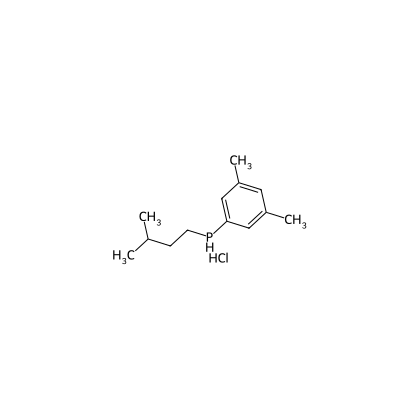 Cc1cc(C)cc(PCCC(C)C)c1.Cl